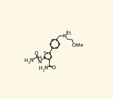 CCN(CCOC)Cc1ccc(-c2cc(C(N)=O)c(NC(N)=O)s2)cc1